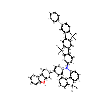 CC1(C)c2ccc(-c3ccccc3)cc2-c2cc3c(cc21)-c1ccc(N(c2ccc(-c4ccc5c(c4)oc4ccccc45)cc2)c2cccc4c2-c2ccccc2C4(C)C)cc1C3(C)C